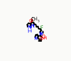 COc1cc(CCCC[C@@H](F)[C@@H]2CCN([C@@H](C(=O)O)c3cccnc3C3CCC3)C2)nc2c1CCCN2